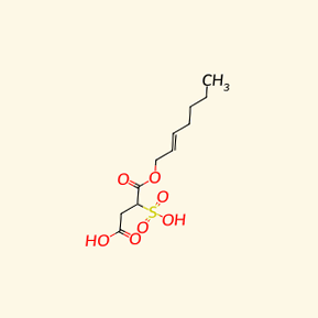 CCCCC=CCOC(=O)C(CC(=O)O)S(=O)(=O)O